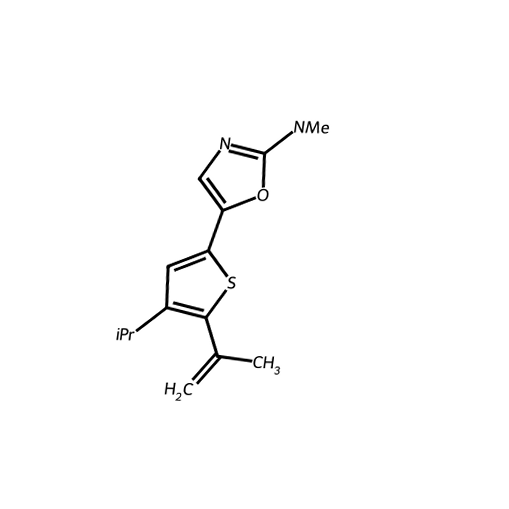 C=C(C)c1sc(-c2cnc(NC)o2)cc1C(C)C